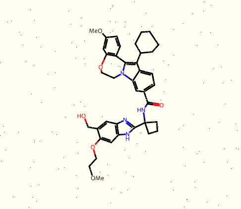 COCCOc1cc2[nH]c(C3(NC(=O)c4ccc5c(C6CCCCC6)c6n(c5c4)CCOc4cc(OC)ccc4-6)CCC3)nc2cc1CO